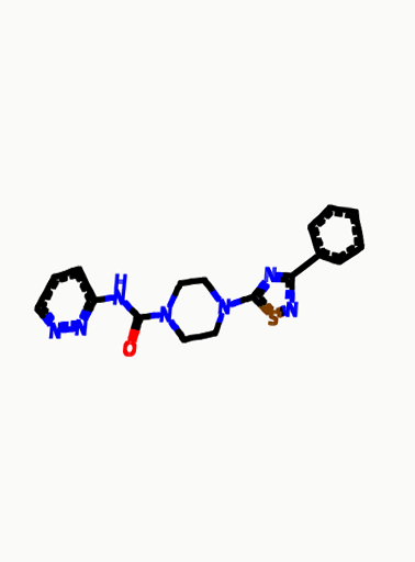 O=C(Nc1cccnn1)N1CCN(c2nc(-c3ccccc3)ns2)CC1